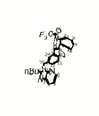 CCCCc1nc2cccnc2n1Cc1ccc2oc(-c3ccccc3NC(=O)C(F)(F)F)cc2c1